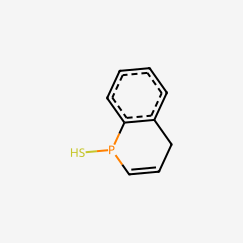 SP1C=CCc2ccccc21